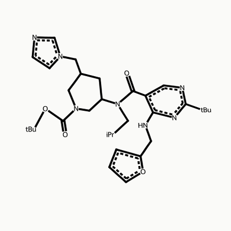 CC(C)CN(C(=O)c1cnc(C(C)(C)C)nc1NCc1ccco1)C1CC(Cn2ccnc2)CN(C(=O)OC(C)(C)C)C1